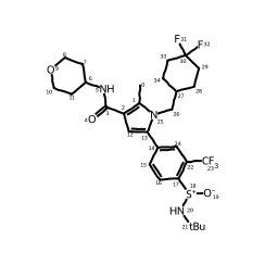 Cc1c(C(=O)NC2CCOCC2)cc(-c2ccc([S+]([O-])NC(C)(C)C)c(C(F)(F)F)c2)n1CC1CCC(F)(F)CC1